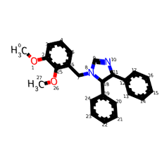 COc1cccc(CN2C=NC(c3ccccc3)C2c2ccccc2)c1OC